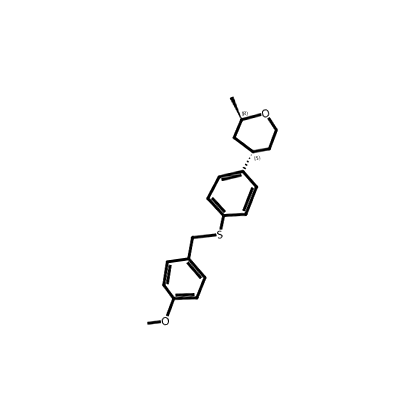 COc1ccc(CSc2ccc([C@H]3CCO[C@H](C)C3)cc2)cc1